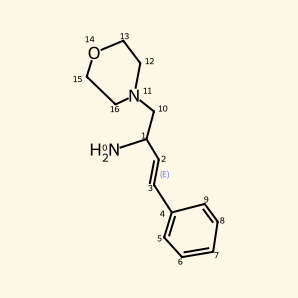 NC(/C=C/c1ccccc1)CN1CCOCC1